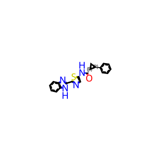 O=C(Nc1cnc(-c2nc3ccccc3[nH]2)s1)[C@@H]1C[C@H]1c1ccccc1